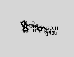 CC(C)(C)OC(=O)NC(Cc1cccc(CNC(=O)OCC2c3ccccc3-c3ccccc32)c1)C(=O)O